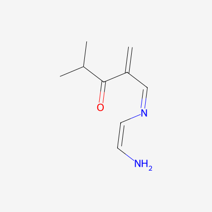 C=C(/C=N\C=C/N)C(=O)C(C)C